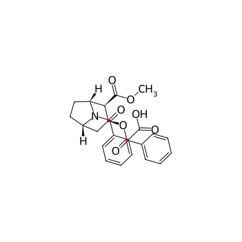 COC(=O)[C@H]1[C@@H](OC(=O)c2ccccc2)C[C@@H]2CC[C@H]1N2C(=O)c1ccccc1C(=O)O